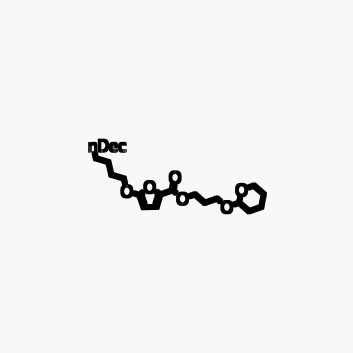 CCCCCCCCCCCCCCOc1ccc(C(=O)OCCCOC2CCCCO2)o1